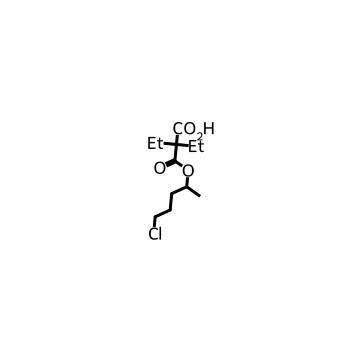 CCC(CC)(C(=O)O)C(=O)OC(C)CCCCl